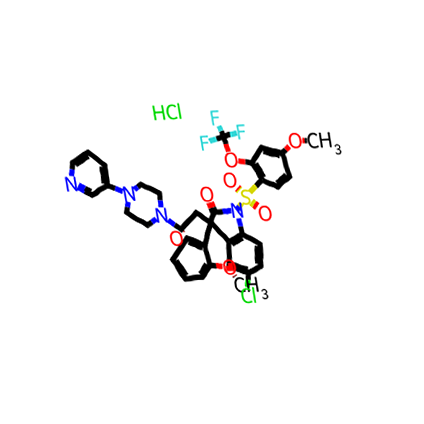 COc1ccc(S(=O)(=O)N2C(=O)C(CC(=O)N3CCN(c4cccnc4)CC3)(c3ccccc3OC)c3cc(Cl)ccc32)c(OC(F)(F)F)c1.Cl